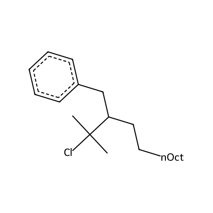 CCCCCCCCCCC(Cc1ccccc1)C(C)(C)Cl